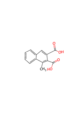 Cc1c(C(=O)O)c(C(=O)O)cc2ccccc12